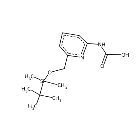 CC(C)(C)[Si](C)(C)OCc1cccc(NC(=O)O)n1